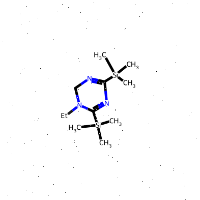 CCN1CN=C([Si](C)(C)C)N=C1[Si](C)(C)C